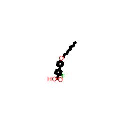 CCCCCCCCCOc1ccc(-c2ccc(C(=O)O)c(F)c2)cc1